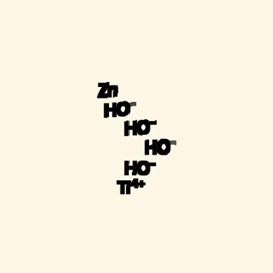 [OH-].[OH-].[OH-].[OH-].[Ti+4].[Zn]